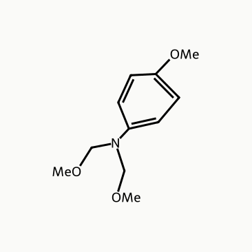 COCN(COC)c1ccc(OC)cc1